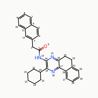 O=C(Cc1ccc2ccccc2c1)Nc1nc2c(nc1C1CCCCC1)-c1ccccc1CC2